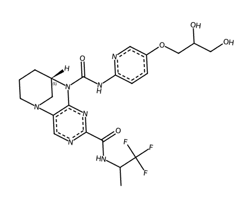 CC(NC(=O)c1ncc2c(n1)N(C(=O)Nc1ccc(OCC(O)CO)cn1)[C@H]1CCCN2C1)C(F)(F)F